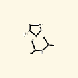 C1CCOC1.CC(C)NC(C)C.[LiH]